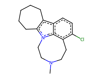 CN1CCc2c(Cl)ccc3c4c(n(c23)CC1)CCCCC4